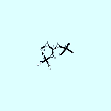 COP(OC(C)(C)C)OC(F)(F)F